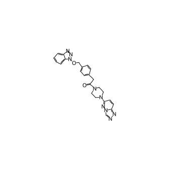 O=C(Cc1ccc(COn2nnc3ccccc32)cc1)N1CCN(c2ccc3nncn3n2)CC1